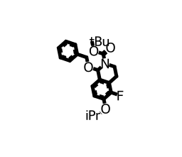 CC(C)Oc1ccc2c(c1F)CCN(C(=O)OC(C)(C)C)C2OCc1ccccc1